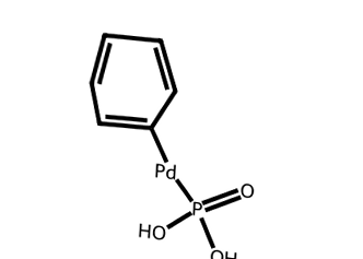 O=[P](O)(O)[Pd][c]1ccccc1